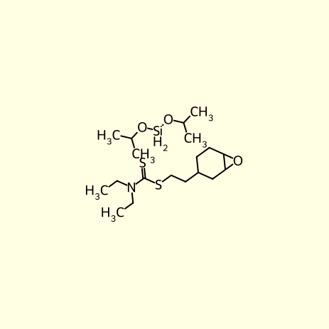 CC(C)O[SiH2]OC(C)C.CCN(CC)C(=S)SCCC1CCC2OC2C1